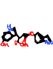 O=C(CC(C(=O)O)c1c[nH]c2ccc(O)cc12)Oc1ccc2[nH]ccc2c1